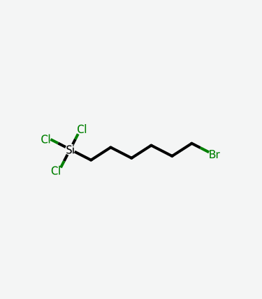 Cl[Si](Cl)(Cl)CCCCCCBr